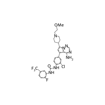 COCCN1CCC(c2cc(-c3ccc(NC(=O)Nc4cc(C(F)(F)F)ccc4F)c(Cl)c3)c3c(N)ncnn23)CC1